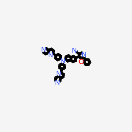 N#Cc1cnc2c(oc3ccccc32)c1-c1ccc2cc(N(c3ccc(-c4ccc5cnccc5n4)cc3)c3ccc(-c4ccc5cnccc5n4)cc3)ccc2c1